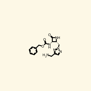 NCc1cnn(C[C@H]2NC(=O)[C@H]2NC(=O)OCc2ccccc2)n1